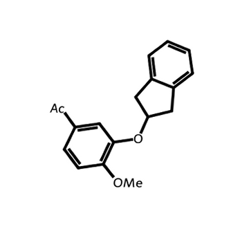 COc1ccc(C(C)=O)cc1OC1Cc2ccccc2C1